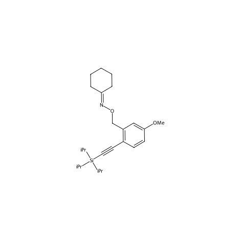 COc1ccc(C#C[Si](C(C)C)(C(C)C)C(C)C)c(CON=C2CCCCC2)c1